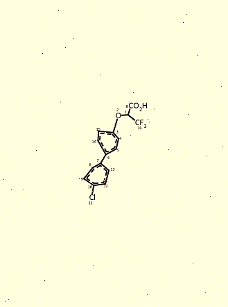 O=C(O)C(Oc1ccc(-c2ccc(Cl)cc2)cc1)C(F)(F)F